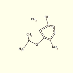 CP(C)Oc1cc(O)ccc1N.P